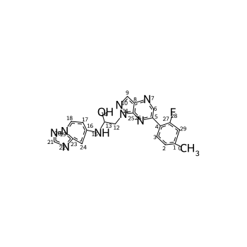 Cc1ccc(-c2cnc3cnn(CC(O)Nc4ccn5ncnc5c4)c3n2)c(F)c1